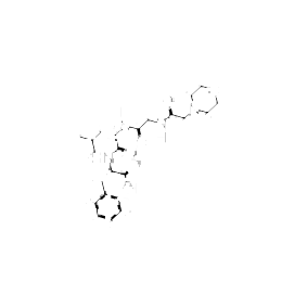 CC(C)C[C@H](NC(=O)CNC(=O)CN1CCOCC1)C(=O)N[C@@H](Cc1ccccc1)C(=O)O